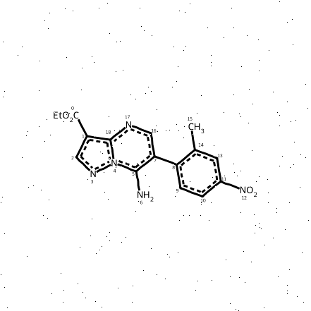 CCOC(=O)c1cnn2c(N)c(-c3ccc([N+](=O)[O-])cc3C)cnc12